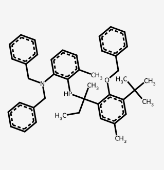 CCC(C)(Pc1c(C)cccc1N(Cc1ccccc1)Cc1ccccc1)c1cc(C)cc(C(C)(C)C)c1OCc1ccccc1